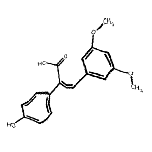 COc1cc(C=C(C(=O)O)c2ccc(O)cc2)cc(OC)c1